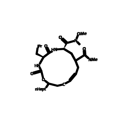 CCCCCCCC1CCC=CCC(C(=O)NC)C[C@@H](C(=O)N(C)OC)NC(=O)[C@H](CC(C)C)NC(=O)O1